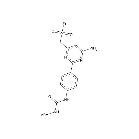 CCCNC(=O)Nc1ccc(-c2nc(N)cc(CS(=O)(=O)CC)n2)cc1